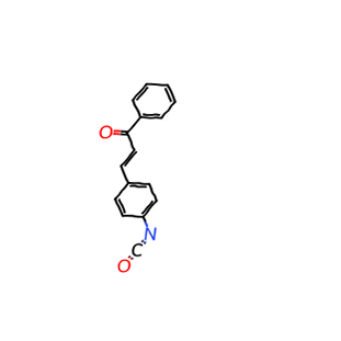 O=C=Nc1ccc(C=CC(=O)c2ccccc2)cc1